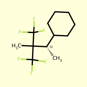 C[C@@H](C1CCCCC1)C(C)(C(F)(F)F)C(F)(F)F